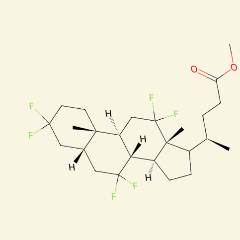 COC(=O)CC[C@@H](C)C1CC[C@H]2[C@H]3[C@H](CC(F)(F)[C@]12C)[C@@]1(C)CCC(F)(F)C[C@H]1CC3(F)F